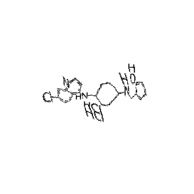 Cl.Cl.Oc1ccccc1CNC1CCC(Nc2ccnc3cc(Cl)ccc23)CC1